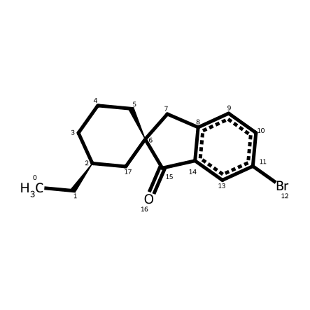 CC[C@H]1CCC[C@]2(Cc3ccc(Br)cc3C2=O)C1